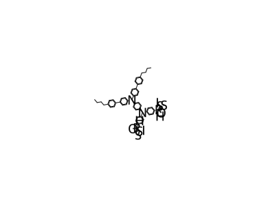 CCCCc1ccc(-c2ccc(N(c3ccc(-c4ccc(CCCC)cc4)cc3)c3ccc(N(c4ccc(P(=O)=[SH](=S)I)cc4)c4ccc(P(=O)=[SH](=S)I)cc4)cc3)cc2)cc1